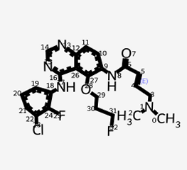 CN(C)C/C=C/C(=O)Nc1ccc2ncnc(Nc3cccc(Cl)c3F)c2c1OCCCF